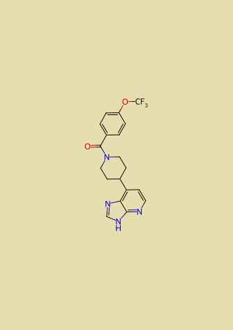 O=C(c1ccc(OC(F)(F)F)cc1)N1CCC(c2ccnc3[nH]cnc23)CC1